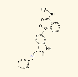 CNC(=O)c1ccccc1[S+]([O-])c1ccc2c(c1)NNC2/C=C/c1ccccn1